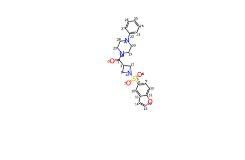 O=C(C1CN(S(=O)(=O)c2ccc3occc3c2)C1)N1CCN(c2ccccc2)CC1